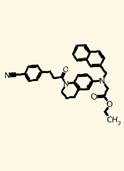 CCOC(=O)CN(Cc1ccc2ccccc2c1)c1ccc2c(c1)CCCN2C(=O)CCc1ccc(C#N)cc1